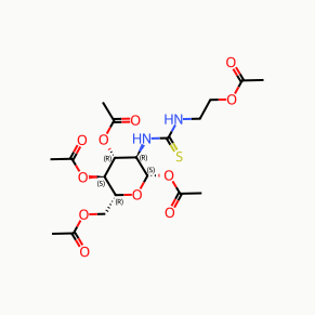 CC(=O)OCCNC(=S)N[C@H]1[C@H](OC(C)=O)O[C@H](COC(C)=O)[C@@H](OC(C)=O)[C@@H]1OC(C)=O